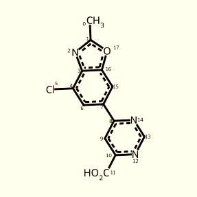 Cc1nc2c(Cl)cc(-c3cc(C(=O)O)ncn3)cc2o1